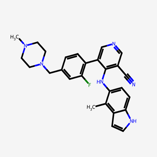 Cc1c(Nc2c(C#N)cncc2-c2ccc(CN3CCN(C)CC3)cc2F)ccc2[nH]ccc12